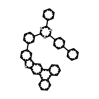 c1ccc(-c2ccc(-c3nc(-c4ccccc4)nc(-c4cccc(-c5ccc6sc7cc8c9ccccc9c9ccccc9c8cc7c6c5)c4)n3)cc2)cc1